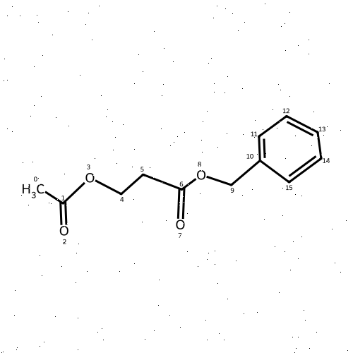 CC(=O)OCCC(=O)OCc1ccccc1